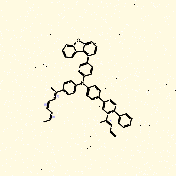 C=C/C=C(\C)c1cc(-c2ccc(N(c3ccc(/C(C)=C/C=C\C=C/C)cc3)c3ccc(-c4cccc5oc6ccccc6c45)cc3)cc2)ccc1-c1ccccc1